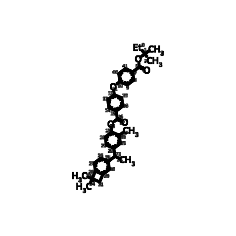 CCC(C)(C)OC(=O)c1ccc(Oc2ccc(C(=O)Oc3ccc(C(C)c4ccc5c(c4)CC5(C)C)cc3C)cc2)cc1